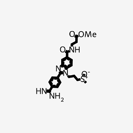 COC(=O)CCNC(=O)c1ccc2c(c1)nc(-c1ccc(C(=N)N)cc1)n2CCC[S+](C)[O-]